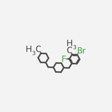 Cc1c(Br)ccc(CC2CCC(CC3CCC(C)CC3)CC2)c1F